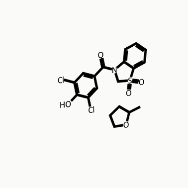 CC1CCCO1.O=C(c1cc(Cl)c(O)c(Cl)c1)N1CS(=O)(=O)c2ccccc21